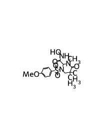 COc1ccc(S(=O)(=O)N2CC(C)(C)C(=O)N(C)C2C(=O)NO)cc1